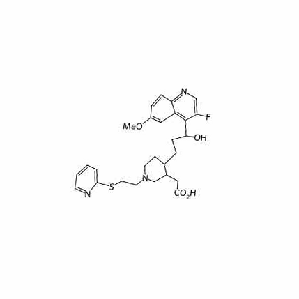 COc1ccc2ncc(F)c(C(O)CCC3CCN(CCSc4ccccn4)CC3CC(=O)O)c2c1